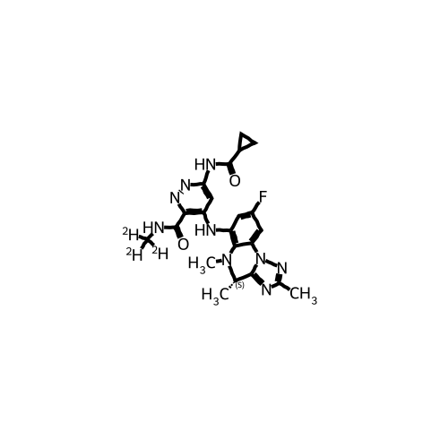 [2H]C([2H])([2H])NC(=O)c1nnc(NC(=O)C2CC2)cc1Nc1cc(F)cc2c1N(C)[C@@H](C)c1nc(C)nn1-2